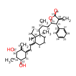 C=C1/C(=C\C=C2/CCC[C@]3(C)[C@@H]([C@H](C)C[C@H]4OC(=O)C(=C)[C@H]4c4ccccc4)CC[C@@H]23)C[C@@H](O)[C@H](C)[C@@H]1O